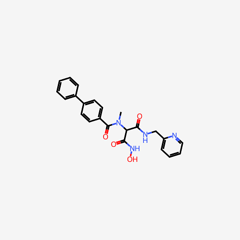 CN(C(=O)c1ccc(-c2ccccc2)cc1)C(C(=O)NO)C(=O)NCc1ccccn1